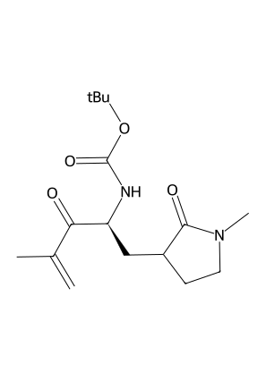 C=C(C)C(=O)[C@H](CC1CCN(C)C1=O)NC(=O)OC(C)(C)C